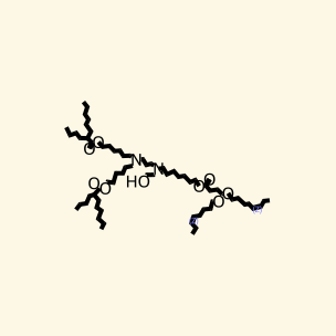 CC/C=C\CCCCOC(CCC(=O)OCCCCCCCN(CCO)CCCN(CCCCCCOC(=O)C(CCCC)CCCCCC)CCCCCCOC(=O)C(CCCC)CCCCCC)OCCCC/C=C\CC